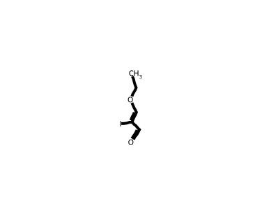 CCO/C=C(\I)C=O